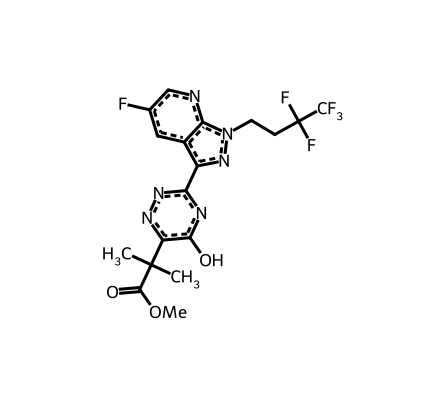 COC(=O)C(C)(C)c1nnc(-c2nn(CCC(F)(F)C(F)(F)F)c3ncc(F)cc23)nc1O